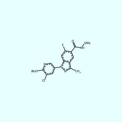 CSNC(=O)c1cc2c(C)nn(-c3cnc(OCC(C)C)c(Cl)c3)c2cc1F